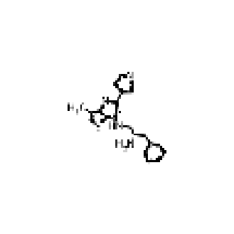 Cc1csc2c(NC[C@@H](N)Cc3ccccc3)nc(-c3ccncc3)nc12